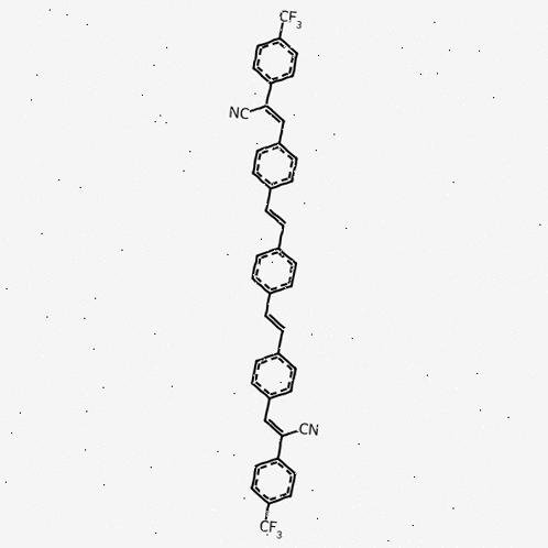 N#C/C(=C\c1ccc(/C=C/c2ccc(/C=C/c3ccc(/C=C(\C#N)c4ccc(C(F)(F)F)cc4)cc3)cc2)cc1)c1ccc(C(F)(F)F)cc1